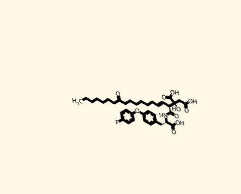 CCCCCCCC(=O)CCCCCC/C=C/[C@H](C(=O)N[C@@H](Cc1ccc(Oc2ccc(F)cc2)cc1)C(=O)O)[C@@](O)(CC(=O)O)C(=O)O